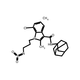 C.Cc1c(C(=O)NC23CC4CC(CC(C4)C2)C3)c2cccc(Cl)c2n1CCCN=S(=O)=O